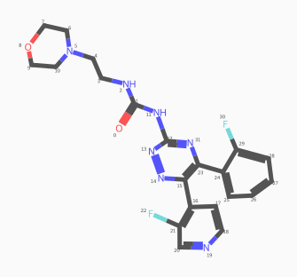 O=C(NCCN1CCOCC1)Nc1nnc(-c2ccncc2F)c(-c2ccccc2F)n1